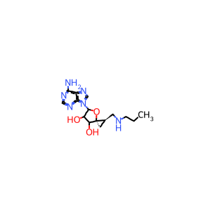 CCCNC[C@H]1C[C@]12OC(n1cnc3c(N)ncnc31)C(O)C2O